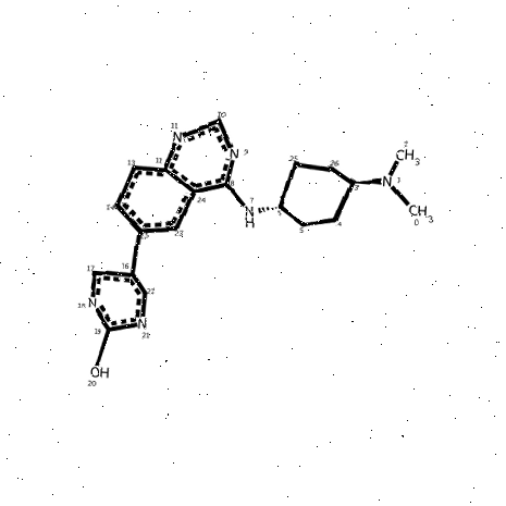 CN(C)[C@H]1CC[C@H](Nc2ncnc3ccc(-c4cnc(O)nc4)cc23)CC1